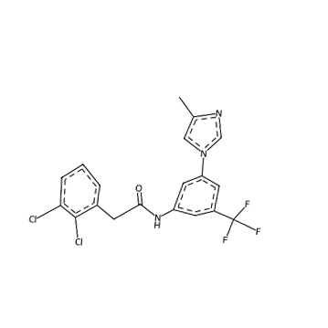 Cc1cn(-c2cc(NC(=O)Cc3cccc(Cl)c3Cl)cc(C(F)(F)F)c2)cn1